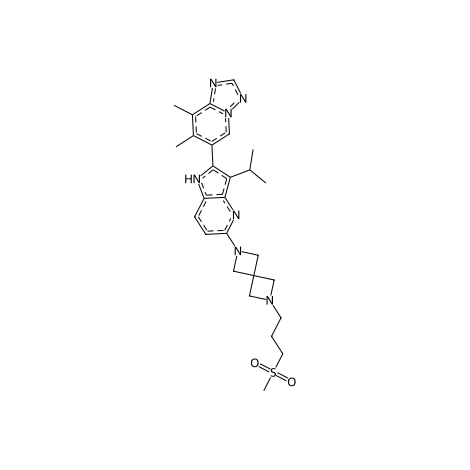 Cc1c(-c2[nH]c3ccc(N4CC5(CN(CCCS(C)(=O)=O)C5)C4)nc3c2C(C)C)cn2ncnc2c1C